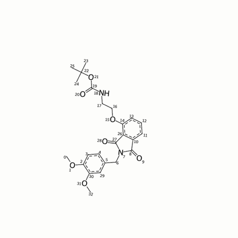 COc1ccc(CN2C(=O)c3cccc(OCCNC(=O)OC(C)(C)C)c3C2=O)cc1OC